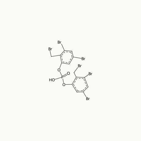 O=P(O)(Oc1cc(Br)cc(Br)c1CBr)Oc1cc(Br)cc(Br)c1CBr